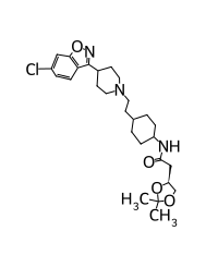 CC1(C)OC[C@H](CC(=O)NC2CCC(CCN3CCC(c4noc5cc(Cl)ccc45)CC3)CC2)O1